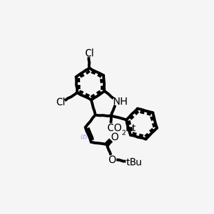 CCOC(=O)C1(c2ccccc2)Nc2cc(Cl)cc(Cl)c2C1/C=C\C(=O)OC(C)(C)C